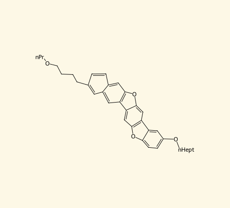 CCCCCCCOc1ccc2oc3cc4c(cc3c2c1)oc1cc2ccc(CCCCOCCC)cc2cc14